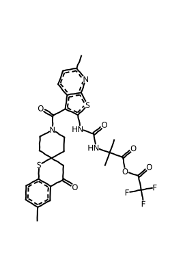 Cc1ccc2c(c1)C(=O)CC1(CCN(C(=O)c3c(NC(=O)NC(C)(C)C(=O)OC(=O)C(F)(F)F)sc4nc(C)ccc34)CC1)S2